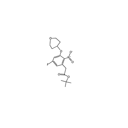 CC(C)(C)OC(=O)Cc1cc(F)cc(OC2CCOCC2)c1[N+](=O)[O-]